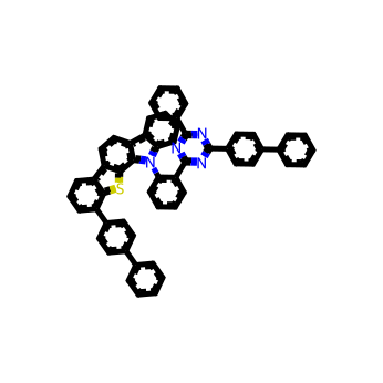 c1ccc(-c2ccc(-c3nc(-c4ccccc4)nc(-c4ccccc4-n4c5ccccc5c5ccc6c7cccc(-c8ccc(-c9ccccc9)cc8)c7sc6c54)n3)cc2)cc1